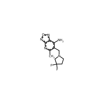 Cc1nc2nonc2c(N)c1CN1CCC(F)(F)C1